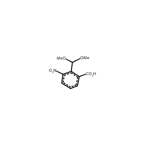 COC(OC)c1c(C(=O)O)cccc1[N+](=O)[O-]